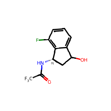 O=C(N[C@H]1CC(O)c2cccc(F)c21)C(F)(F)F